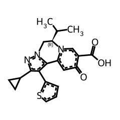 CC(C)[C@@H]1Cn2nc(C3CC3)c(-c3cccs3)c2-c2cc(=O)c(C(=O)O)cn21